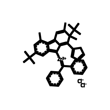 CC1=CC2=c3c(C)cc(C(C)(C)C)cc3=[C]([Zr+2]=[C](c3ccccc3)c3ccccc3)C2=C(C2=CC=CC2)C1(C)C(C)(C)C.[Cl-].[Cl-]